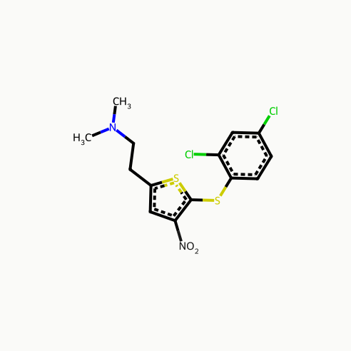 CN(C)CCc1cc([N+](=O)[O-])c(Sc2ccc(Cl)cc2Cl)s1